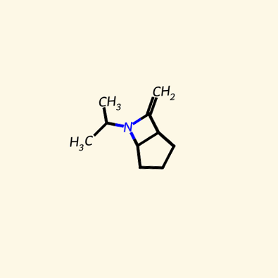 C=C1C2CCCC2N1C(C)C